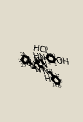 Cl.O[C@H]1CC[C@H](Nc2nc(NCc3ccccc3)c3ncn(C4CCCC4)c3n2)CC1